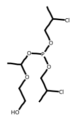 CC(Cl)COP(OCC(C)Cl)OC(C)OCCO